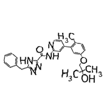 Cc1ccc(OCC(C)(C)O)cc1-c1ccnc(NC(=O)c2nnc(Cc3ccccc3)[nH]2)c1